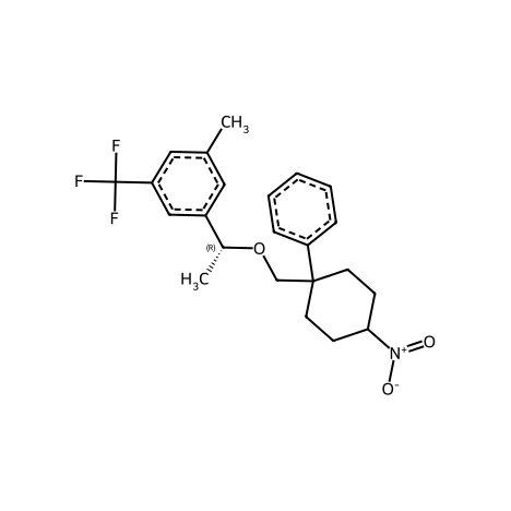 Cc1cc([C@@H](C)OCC2(c3ccccc3)CCC([N+](=O)[O-])CC2)cc(C(F)(F)F)c1